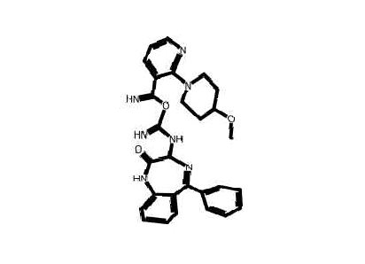 COC1CCN(c2ncccc2C(=N)OC(=N)NC2N=C(c3ccccc3)c3ccccc3NC2=O)CC1